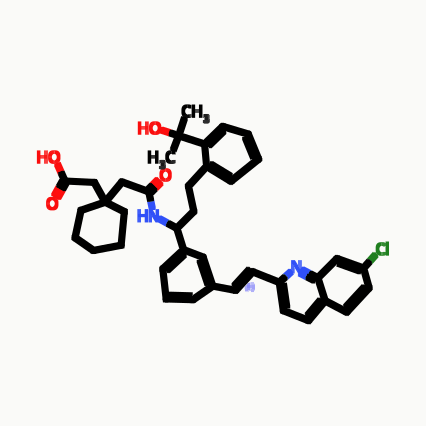 CC(C)(O)c1ccccc1CCC(NC(=O)CC1(CC(=O)O)CCCCC1)c1cccc(/C=C/c2ccc3ccc(Cl)cc3n2)c1